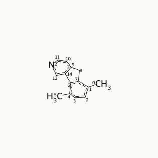 Cc1ccc(C)c2c1Cc1ccncc1-2